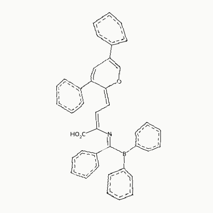 O=C(O)C(=CC=C1OC=C(c2ccccc2)C=C1c1ccccc1)N=C(B(c1ccccc1)c1ccccc1)c1ccccc1